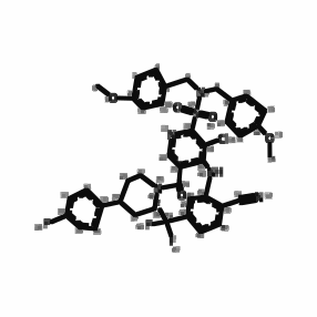 COc1ccc(CN(Cc2ccc(OC)cc2)S(=O)(=O)c2ncc(C(=O)N3CCC(c4ccc(F)cc4)CC3)c(Nc3cc(C(F)(F)F)ccc3C#N)c2Cl)cc1